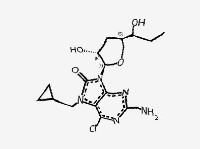 CCC(O)[C@@H]1C[C@@H](O)[C@H](n2c(=O)n(CC3CC3)c3c(Cl)nc(N)nc32)O1